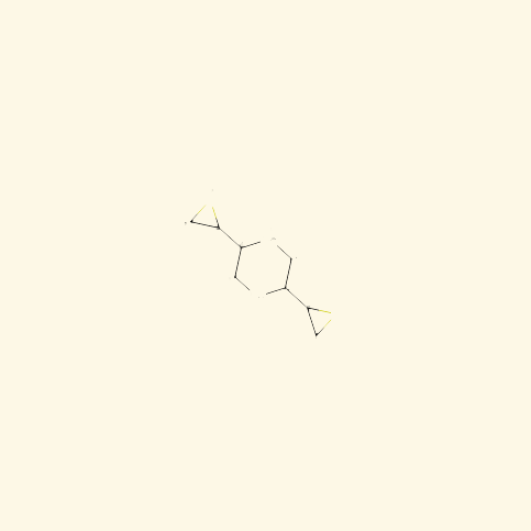 C1SC1C1C[Se]C(C2CS2)C[Se]1